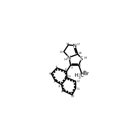 Br.CC1=C(c2cccc3ccccc23)N2CCN=C2S1